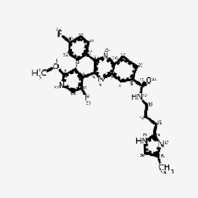 COc1cc(-c2nc3cc(C(=O)NCCCc4nc(C)c[nH]4)ccc3nc2-c2ccc(F)cc2)c(F)cn1